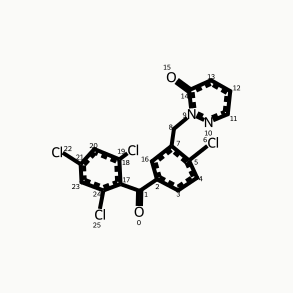 O=C(c1ccc(Cl)c(Cn2ncccc2=O)c1)c1c(Cl)cc(Cl)cc1Cl